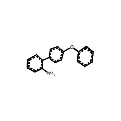 Nc1ccccc1-c1ccc(Oc2ccccc2)cc1